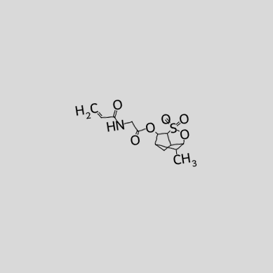 C=CC(=O)NCC(=O)OC1C2CC3C(OS(=O)(=O)C31)C2C